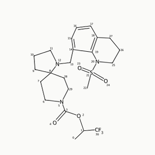 CC(OC(=O)N1CCC2(CCCN2Cc2cccc3c2N(S(C)(=O)=O)CCC3)CC1)C(F)(F)F